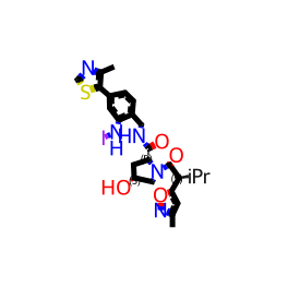 Cc1cc([C@@H](C(=O)N2C[C@@H](O)C[C@@H]2C(=O)NCc2ccc(-c3scnc3C)cc2NI)C(C)C)on1